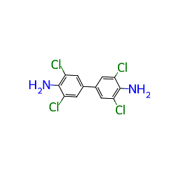 Nc1c(Cl)cc(-c2cc(Cl)c(N)c(Cl)c2)cc1Cl